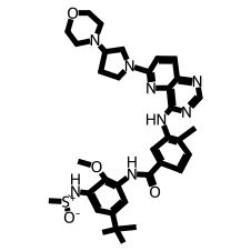 COc1c(NC(=O)c2ccc(C)c(Nc3ncnc4ccc(N5CCC(N6CCOCC6)C5)nc34)c2)cc(C(C)(C)C)cc1N[S+](C)[O-]